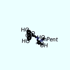 CCCCC[C@H](O)/C=C/[C@@H]1C(C/C=C\CCCC(=O)N2c3ccc(O)cc3Oc3cc(O)ccc32)[C@@H](C)C[C@H]1OO